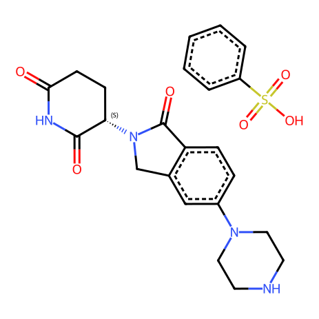 O=C1CC[C@H](N2Cc3cc(N4CCNCC4)ccc3C2=O)C(=O)N1.O=S(=O)(O)c1ccccc1